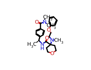 C[C@H](NC(=O)C1(N(C)CCOc2ccccc2)CCOCC1)c1ccc(C(=O)N(C)C)cc1